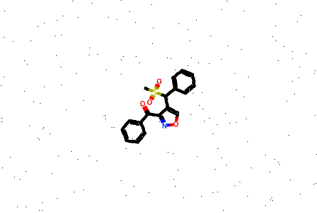 CS(=O)(=O)C(c1ccccc1)c1conc1C(=O)c1ccccc1